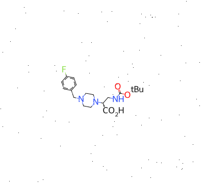 CC(C)(C)OC(=O)NC[C@@H](C(=O)O)N1CCN(Cc2ccc(F)cc2)CC1